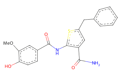 COc1cc(C(=O)Nc2sc(Cc3ccccc3)cc2C(N)=O)ccc1O